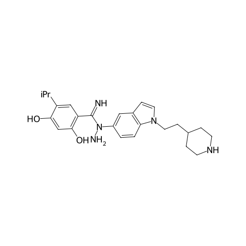 CC(C)c1cc(C(=N)N(N)c2ccc3c(ccn3CCC3CCNCC3)c2)c(O)cc1O